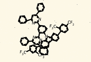 FC(F)(F)c1ccc(-c2ccc3c4ccc(-c5ccc(C(F)(F)F)cc5C(F)(F)F)cc4n(-c4ccc(-c5nc(-c6ccccc6)cc(-c6ccccc6)n5)cc4-c4nc(-c5ccccc5)cc(-c5ccccc5)n4)c3c2)c(C(F)(F)F)c1